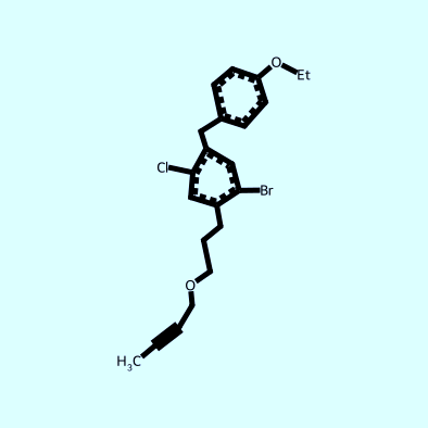 CC#CCOCCCc1cc(Cl)c(Cc2ccc(OCC)cc2)cc1Br